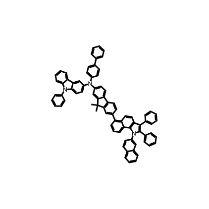 CC1(C)c2cc(-c3cccc4c3ccc3c(-c5ccccc5)c(-c5ccccc5)n(-c5ccc6ccccc6c5)c34)ccc2-c2ccc(N(c3ccc(-c4ccccc4)cc3)c3ccc4c(c3)c3ccccc3n4-c3ccccc3)cc21